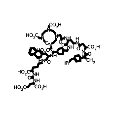 CC(C)Cc1ccc(C(C)C(=O)NC(CC(=O)NCCC(NC(=O)CN2CCN(CC(=O)O)CCN(CC(=O)O)CCN(CC(=O)O)CC2)C(=O)NCC2CCC(C(=O)NC(Cc3ccc4ccccc4c3)C(=O)NCCCCC(NC(=O)NC(CCC(=O)O)C(=O)O)C(=O)O)CC2)C(=O)O)cc1